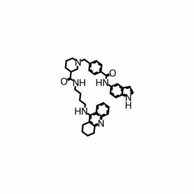 O=C(Nc1ccc2[nH]ccc2c1)c1ccc(CN2CCCC(C(=O)NCCCCNc3c4c(nc5ccccc35)CCCC4)C2)cc1